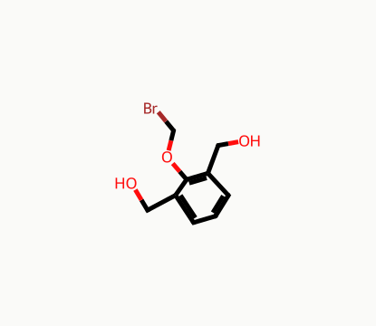 OCc1cccc(CO)c1OCBr